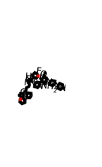 COc1cc(N2CCC(N3CCN(C)CC3)CC2)c(N)c(-c2cc(-n3c(CCCO[Si](c4ccccc4)(c4ccccc4)C(C)(C)C)nnc3-c3ccc(F)cc3)ccn2)c1N